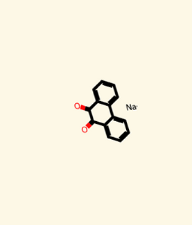 O=C1C(=O)c2ccccc2-c2ccccc21.[Na]